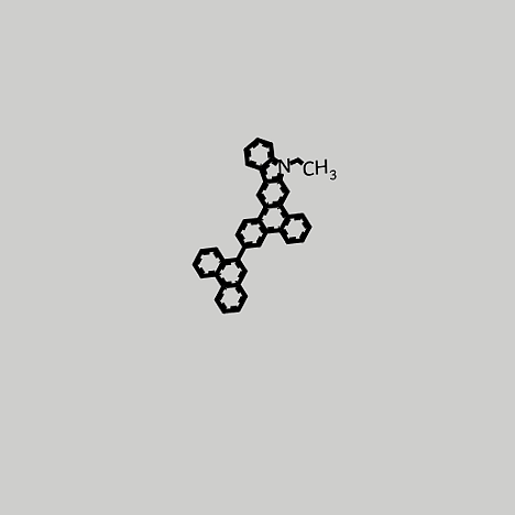 CCn1c2ccccc2c2cc3c4ccc(-c5cc6ccccc6c6ccccc56)cc4c4ccccc4c3cc21